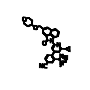 Cn1cnnc1-c1cc(C#N)ccc1-c1cc(C2CC2)nc(N2C(=O)c3cc(COC4CCOCC4)cc4cccc2c34)c1